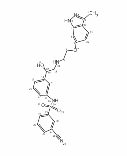 Cc1n[nH]c2cc(OCCNC[C@H](O)c3cccc(NS(=O)(=O)c4cccc(C#N)c4)c3)ccc12